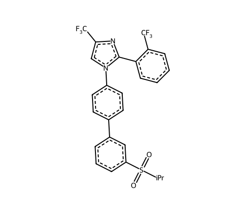 CC(C)S(=O)(=O)c1cccc(-c2ccc(-n3cc(C(F)(F)F)nc3-c3ccccc3C(F)(F)F)cc2)c1